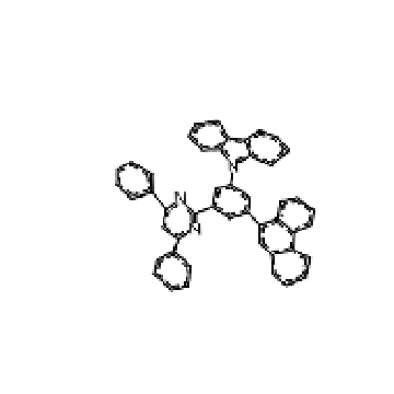 c1ccc(-c2cc(-c3ccccc3)nc(-c3cc(-c4cc5ccccc5c5ccccc45)cc(-n4c5ccccc5c5ccccc54)c3)n2)cc1